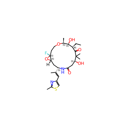 CC[C@H]1C(=O)C(C)(C)[C@@H](O)CC(=O)N[C@H](C(C)=Cc2csc(C)n2)C[C@@H]2O[C@]2(F)CCO[C@@H](C)[C@H]1O